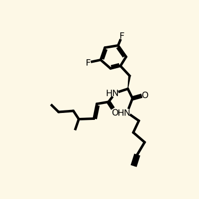 C#CCCCNC(=O)[C@H](Cc1cc(F)cc(F)c1)NC(=O)/C=C/C(C)CCC